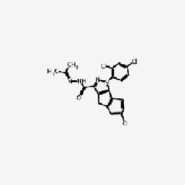 CC(C)=NNC(=O)c1nn(-c2ccc(Cl)cc2Cl)c2c1Cc1cc(Cl)ccc1-2